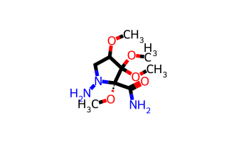 COC1CN(N)[C@](OC)(C(N)=O)C1(OC)OC